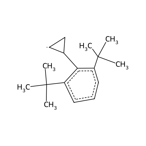 CC(C)(C)c1cccc(C(C)(C)C)c1C1[CH]C1